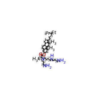 CCC(CCCC1CCC2C3CC=C4CC(OC(=O)C(C)N(CCCN)CCCCNCCCN)CCC4(C)C3CCC12C)C(C)C